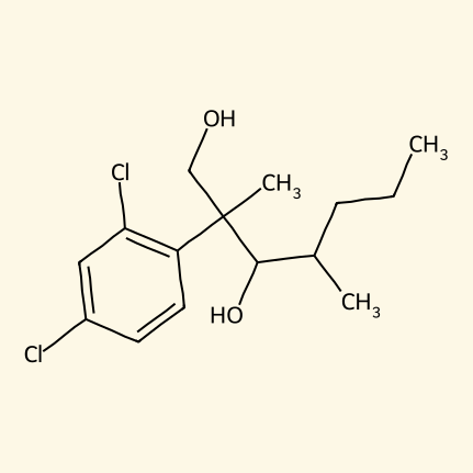 CCCC(C)C(O)C(C)(CO)c1ccc(Cl)cc1Cl